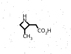 CC1CNC1CC(=O)O